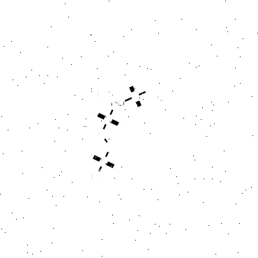 N.O=S(=O)(O)OOS(=O)(=O)O.O=S(=O)([O-])O.[Na+]